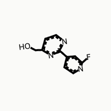 OCc1ccnc(-c2ccnc(F)c2)n1